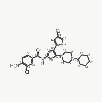 Nc1ccc(C(=O)Nc2nc(-c3cc(Cl)cs3)c(N3CCN(C4CCCCC4)CC3)s2)cc1Cl